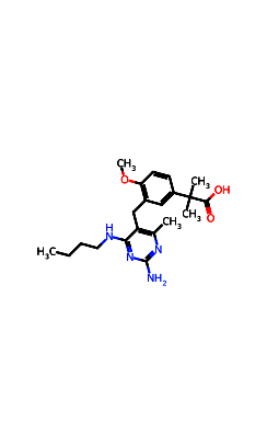 CCCCNc1nc(N)nc(C)c1Cc1cc(C(C)(C)C(=O)O)ccc1OC